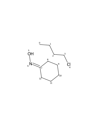 CCCCCl.ON=C1CCCCC1